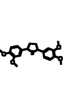 COc1ccc(C2CCC(c3ccc(OC)c(OC)c3)S2)cc1OC